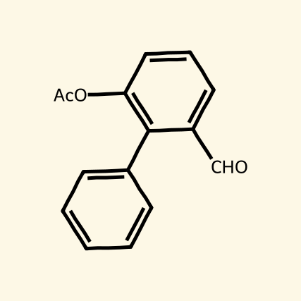 CC(=O)Oc1cccc(C=O)c1-c1ccccc1